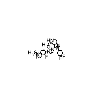 C[C@@H]1NCCc2nn(C3CCC(F)(F)CC3)c(-n3ccn(-c4ccc5c(cnn5C)c4F)c3=O)c21